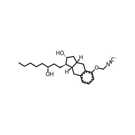 [C-]#[N+]COc1cccc2c1C[C@H]1C[C@@H](O)[C@H](CC[C@@H](O)CCCCC)[C@H]1C2